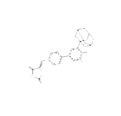 O=C1NC(=O)/C(=C/c2ccc(-c3cc(Cl)c(O)c(C45CC6CC(CC(C6)C4)C5)c3)cc2)S1